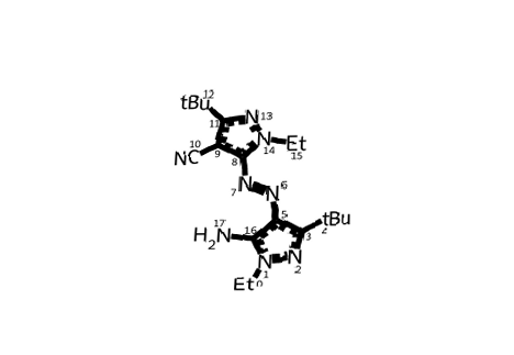 CCn1nc(C(C)(C)C)c(N=Nc2c(C#N)c(C(C)(C)C)nn2CC)c1N